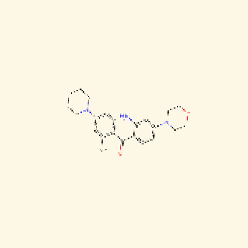 CCCc1cc(N2CCCCC2)ccc1C(=O)c1ccc(N2CCOCC2)cc1N